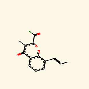 CC=Cc1cccc2c(=O)c(C)c(C(=O)Cl)oc12